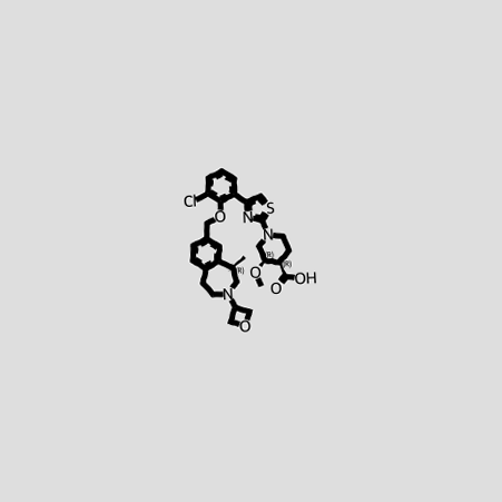 CO[C@H]1CN(c2nc(-c3cccc(Cl)c3OCc3ccc4c(c3)[C@@H](C)CN(C3COC3)CC4)cs2)CC[C@H]1C(=O)O